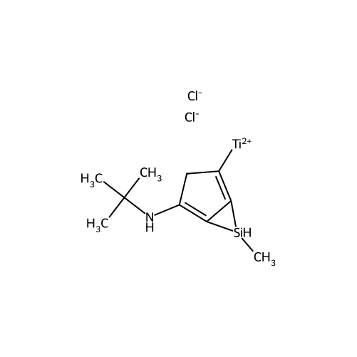 C[SiH]1C2=[C]([Ti+2])CC(NC(C)(C)C)=C21.[Cl-].[Cl-]